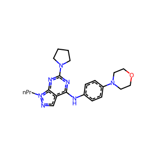 CCCn1ncc2c(Nc3ccc(N4CCOCC4)cc3)nc(N3CCCC3)nc21